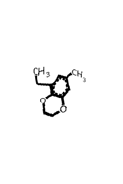 CCc1cc(C)cc2c1OCCO2